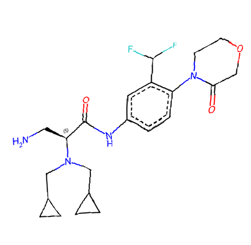 NC[C@@H](C(=O)Nc1ccc(N2CCOCC2=O)c(C(F)F)c1)N(CC1CC1)CC1CC1